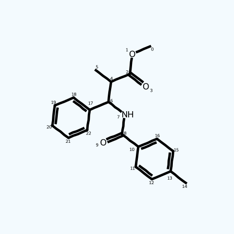 COC(=O)C(C)C(NC(=O)c1ccc(C)cc1)c1ccccc1